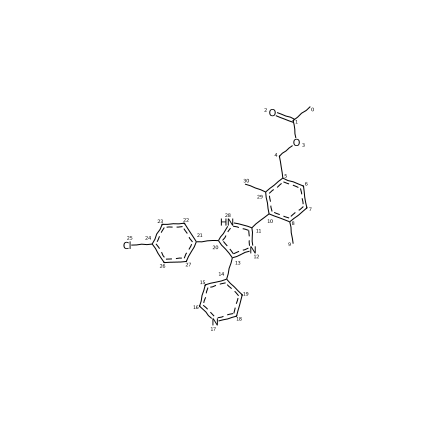 CC(=O)OCc1ccc(C)c(-c2nc(-c3ccncc3)c(-c3ccc(Cl)cc3)[nH]2)c1C